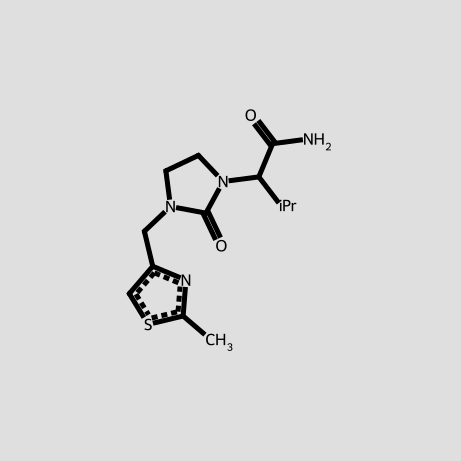 Cc1nc(CN2CCN(C(C(N)=O)C(C)C)C2=O)cs1